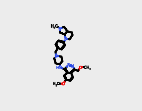 COCc1nnc(NC2CCN(Cc3ccc(N4CCCC5CN(C)CC54)cc3)CC2)c2cc(OC)ccc12